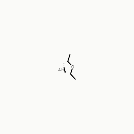 CCOCC.CF.[AlH3]